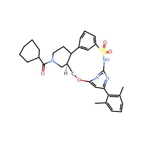 Cc1cccc(C)c1-c1cc2nc(n1)NS(=O)(=O)c1cccc(c1)C1CCN(C(=O)C3CCCCC3)C[C@@H]1CO2